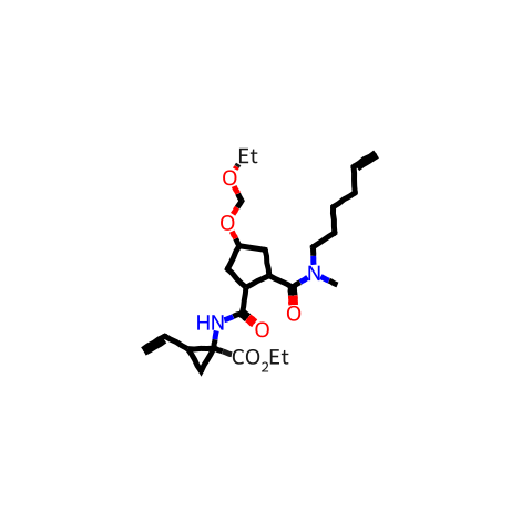 C=CCCCCN(C)C(=O)C1CC(OCOCC)CC1C(=O)NC1(C(=O)OCC)CC1C=C